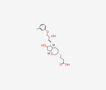 Cc1cccc(OC[C@H](O)C=C[C@@H]2[C@H]3CC[C@H](CCCC(=O)O)CO[C@H]3C[C@H]2O)c1